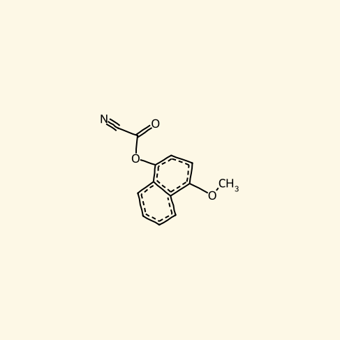 COc1ccc(OC(=O)C#N)c2ccccc12